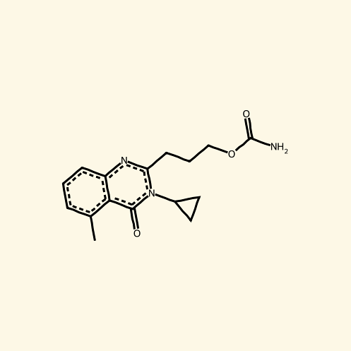 Cc1cccc2nc(CCCOC(N)=O)n(C3CC3)c(=O)c12